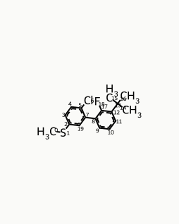 CSc1ccc(Cl)c(-c2cccc(C(C)(C)C)c2F)c1